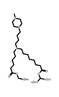 CCCCCCCCCCCOC(=O)CCCCCN(CCCCCCCC(=O)OC(CCCCCCCC)CCCCCCCC)CCCCN1CCN(C)CC1